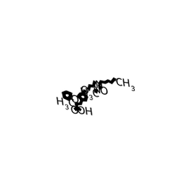 CCCCCCN1CC(CCOc2ccc(CC(C)(Oc3ccccc3)C(=O)O)cc2)N(C)C1=O